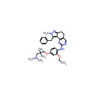 CCOc1cc(OCC(C)(C)CN(C)C)ccc1Nc1ncc2c(n1)-c1c(nn(C)c1Cc1ccccc1)CC2